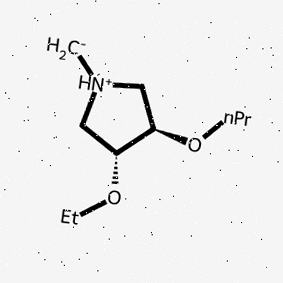 [CH2-][NH+]1C[C@@H](OCC)[C@H](OCCC)C1